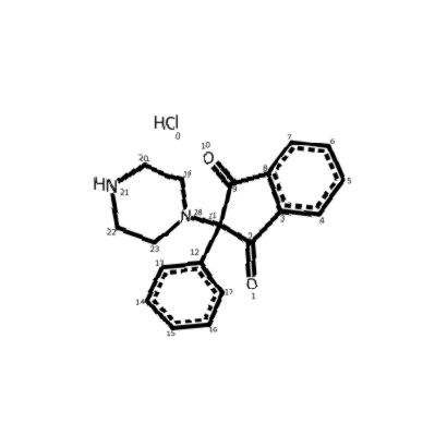 Cl.O=C1c2ccccc2C(=O)C1(c1ccccc1)N1CCNCC1